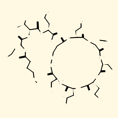 CCSCCCC(=O)N[C@H](CCN)C(=O)N[C@H](C(=O)N[C@@H](CCN)C(=O)N[C@H]1CCNC(=O)[C@H]([C@@H](C)O)NC(=O)[C@H](CCN)NC(=O)[C@H](CCN)NC(=O)[C@H](CC(C)C)NC(=O)[C@@H](CC(C)C)NC(=O)[C@H](CCN)NC1=O)[C@@H](C)O